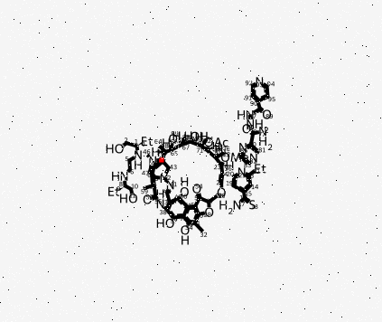 CC[C@@H](CO)NCCN[C@@H](CC)CO.CCc1cc(C(N)=S)ccn1.CO[C@H]1/C=C/O[C@@]2(C)Oc3c(C)c(O)c4c(O)c(c(/C=N/N5CCN(C)CC5)c(O)c4c3C2=O)NC(=O)/C(C)=C\C=C\[C@H](C)[C@H](O)[C@@H](C)[C@@H](O)[C@@H](C)[C@H](OC(C)=O)[C@@H]1C.NC(=O)c1cnccn1.NNC(=O)c1ccncc1